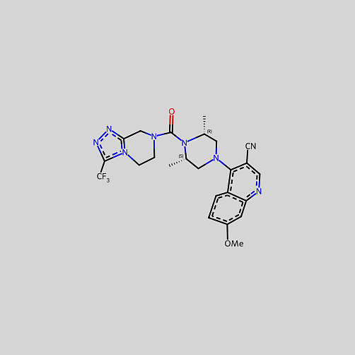 COc1ccc2c(N3C[C@@H](C)N(C(=O)N4CCn5c(nnc5C(F)(F)F)C4)[C@@H](C)C3)c(C#N)cnc2c1